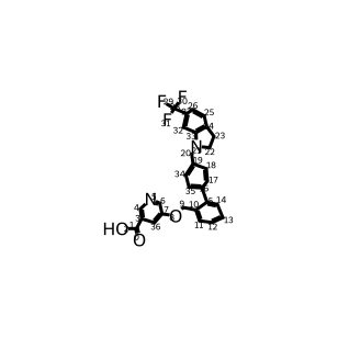 O=C(O)c1cncc(OCc2ccccc2-c2ccc(CN3CCc4ccc(C(F)(F)F)cc43)cc2)c1